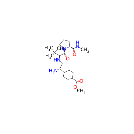 CNC(=O)[C@@H]1CCCN1C(=O)[C@@H](NCC(N)C1CCC(C(=O)OC)CC1)C(C)(C)C